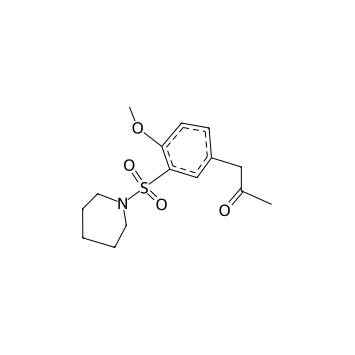 COc1ccc(CC(C)=O)cc1S(=O)(=O)N1CCCCC1